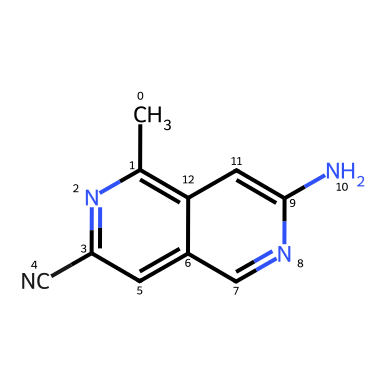 Cc1nc(C#N)cc2cnc(N)cc12